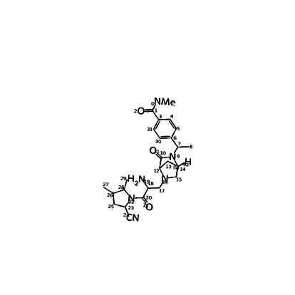 CNC(=O)c1ccc(C(C)N2C(=O)C3C[C@H]2CN3CC(N)C(=O)N2C(C#N)CC(C)C2C)cc1